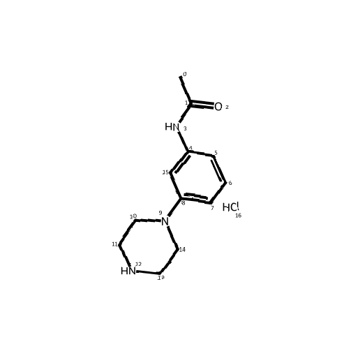 CC(=O)Nc1cccc(N2CCNCC2)c1.Cl